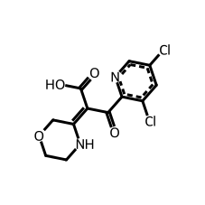 O=C(O)/C(C(=O)c1ncc(Cl)cc1Cl)=C1\COCCN1